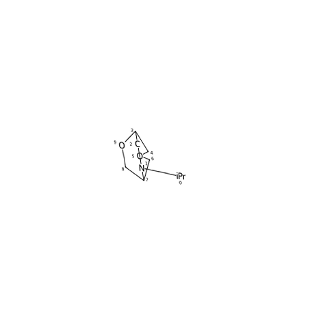 CC(C)N1CC2COCC1CO2